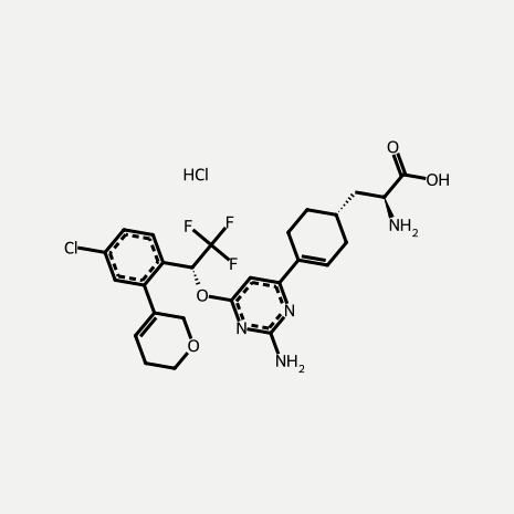 Cl.Nc1nc(O[C@H](c2ccc(Cl)cc2C2=CCCOC2)C(F)(F)F)cc(C2=CC[C@@H](C[C@H](N)C(=O)O)CC2)n1